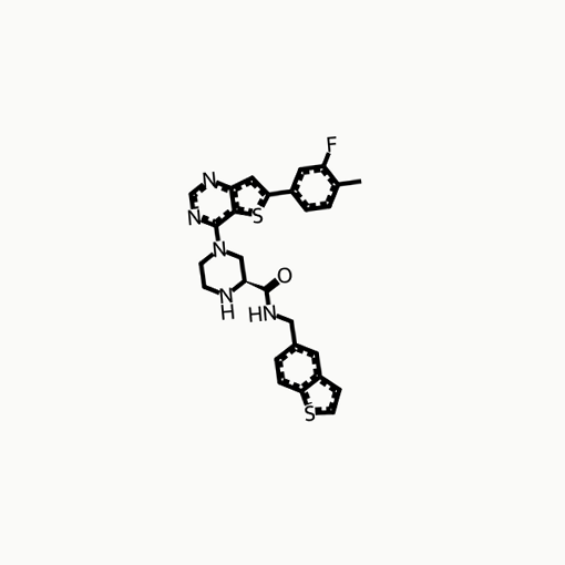 Cc1ccc(-c2cc3ncnc(N4CCN[C@H](C(=O)NCc5ccc6sccc6c5)C4)c3s2)cc1F